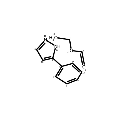 CCOC=O.c1ccc(-c2ccn[nH]2)cc1